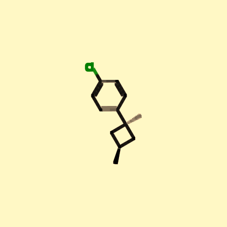 C[C@H]1C[C@@](C)(c2ccc(Cl)cc2)C1